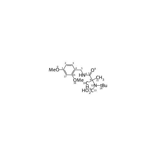 COc1ccc(CNC(=O)C(C)(C)N(C(=O)O)C(C)(C)C)c(OC)c1